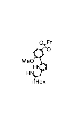 CCCCCCC(=N)Cc1ccc(-c2cc(S(=O)(=O)CC)ccc2OC)[nH]1